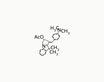 CC(=O)OC1CC(=Cc2ccc(N(C)C)cc2)C2=[N+](C1)c1ccccc1C2(C)C